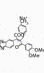 COc1ccc(C(=O)/C(Cc2ccc(C)cc2)=C(/C(=O)[O-])c2ccc3nsnc3c2)cc1OC.[Na+]